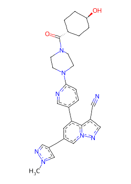 Cn1cc(-c2cc(-c3ccc(N4CCN(C(=O)[C@H]5CC[C@H](O)CC5)CC4)nc3)c3c(C#N)cnn3c2)cn1